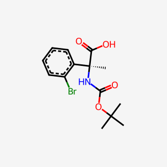 CC(C)(C)OC(=O)N[C@](C)(C(=O)O)c1ccccc1Br